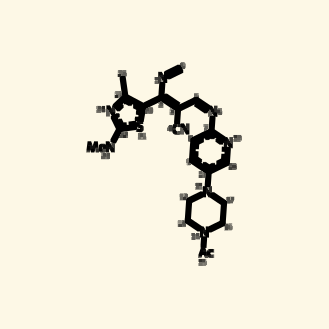 C=N/C(=C(C#N)\C=N/c1ccc(N2CCN(C(C)=O)CC2)cn1)c1sc(NC)nc1C